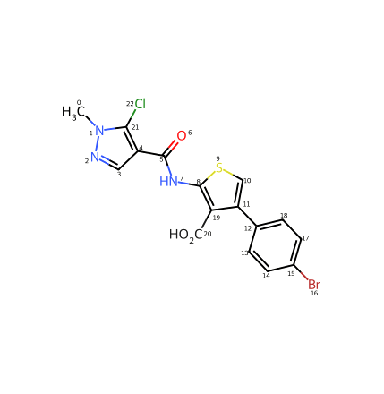 Cn1ncc(C(=O)Nc2scc(-c3ccc(Br)cc3)c2C(=O)O)c1Cl